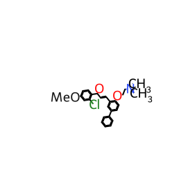 COc1ccc(C(=O)C=Cc2cc(-c3ccccc3)ccc2OCCN(C)C)c(Cl)c1